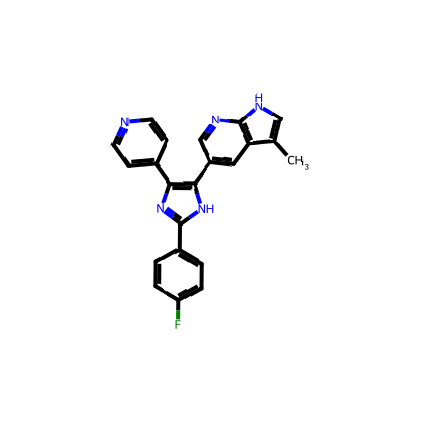 Cc1c[nH]c2ncc(-c3[nH]c(-c4ccc(F)cc4)nc3-c3ccncc3)cc12